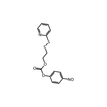 O=Nc1ccc(OC(=O)OCCSSc2ccccn2)cc1